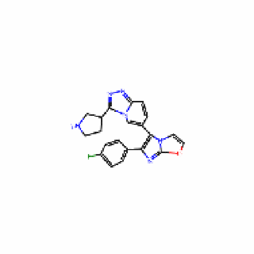 Fc1ccc(-c2nc3occn3c2-c2ccc3nnc(C4CCNC4)n3c2)cc1